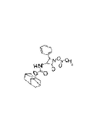 CC(=O)ON1C(=O)C(NC(=O)OC23CC4CC(CC(C4)C2)C3)C1c1ccccc1